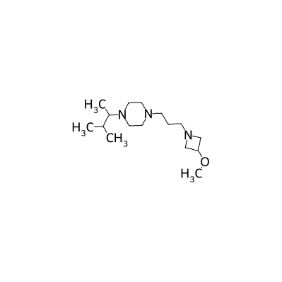 COC1CN(CCCN2CCN(C(C)C(C)C)CC2)C1